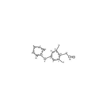 Cc1cc(Oc2ncccn2)cc(C)c1CC=O